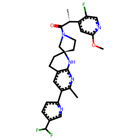 COc1cc([C@@H](C)C(=O)N2CC[C@@]3(CCc4cc(-c5ccc(C(F)F)cn5)c(C)nc4N3)C2)c(F)cn1